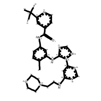 Cc1ccc(NC(=O)c2ccnc(C(C)(F)F)c2)cc1Nc1ncnn1-c1cc(NCCN2CCOCC2)ncn1